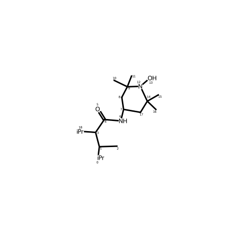 CC(C)C(C)C(C(=O)NC1CC(C)(C)N(O)C(C)(C)C1)C(C)C